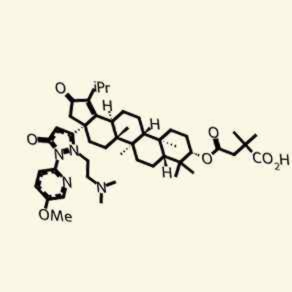 COc1ccc(-n2c(=O)cc([C@@]34CC[C@]5(C)[C@H](CC[C@@H]6[C@@]7(C)CC[C@H](OC(=O)CC(C)(C)C(=O)O)C(C)(C)[C@@H]7CC[C@]65C)C3=C(C(C)C)C(=O)C4)n2CCN(C)C)nc1